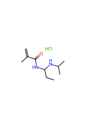 C=C(C)C(=O)NC(CC)NC(C)C.Cl